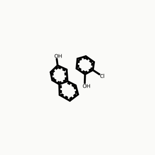 Oc1ccc2ccccc2c1.Oc1ccccc1Cl